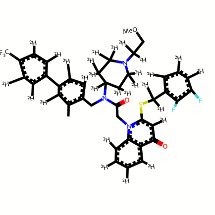 [2H]c1c([2H])c(F)c(F)c(C([2H])([2H])Sc2c([2H])c(=O)c3c([2H])c([2H])c([2H])c([2H])c3n2CC(=O)N(Cc2c([2H])c([2H])c(-c3c([2H])c([2H])c(C(F)(F)F)c([2H])c3[2H])c([2H])c2C)C2([2H])C([2H])([2H])C([2H])([2H])N(C([2H])([2H])COC)C([2H])([2H])C2([2H])[2H])c1[2H]